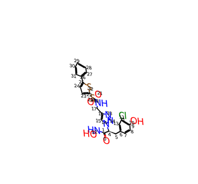 O=C(NO)[C@H](Cc1ccc(O)c(Cl)c1)n1cc(CNS(=O)(=O)c2ccc(-c3ccccc3)s2)nn1